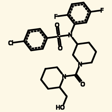 O=C(N1CCCC(N(c2cc(F)ccc2F)S(=O)(=O)c2ccc(Cl)cc2)C1)N1CCCCC1CO